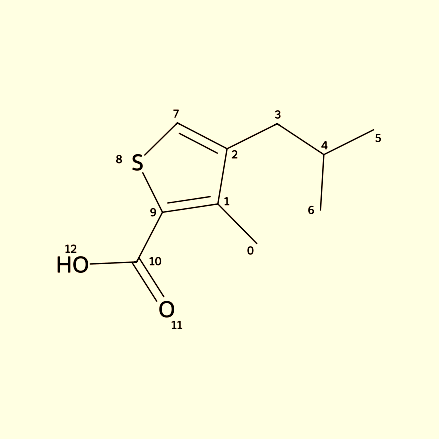 Cc1c(CC(C)C)csc1C(=O)O